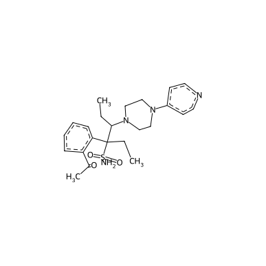 CCC(N1CCN(c2ccncc2)CC1)C(CC)(c1ccccc1C(C)=O)S(N)(=O)=O